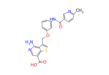 Cc1ccc(C(=O)Nc2cccc(OCc3csc4c(C(=O)O)cnc(N)c34)c2)cn1